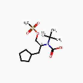 CC(C)(C)N(C(=O)O)[C@H](COS(C)(=O)=O)CC1CCCC1